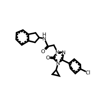 O=C(Cn1nc(-c2ccc(Cl)cc2)n(C2CC2)c1=O)NC1Cc2ccccc2C1